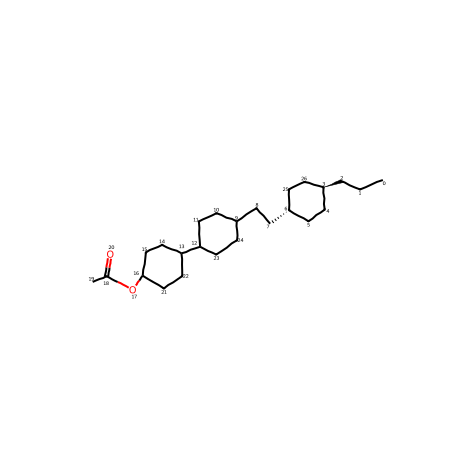 CCC[C@H]1CC[C@H](CCC2CCC(C3CCC(OC(C)=O)CC3)CC2)CC1